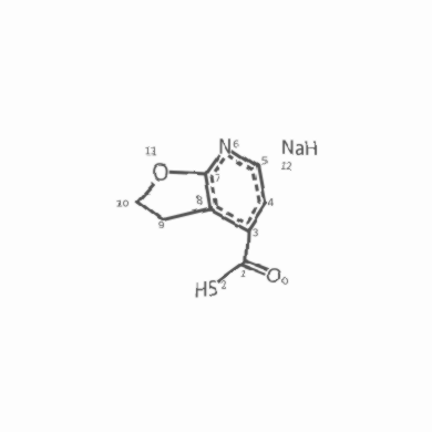 O=C(S)c1ccnc2c1CCO2.[NaH]